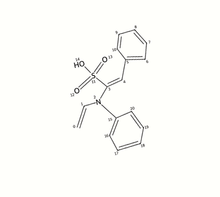 C=CN(C(=Cc1ccccc1)S(=O)(=O)O)c1ccccc1